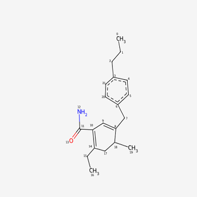 CCCc1ccc(CC2=CC(C(N)=O)=C(CC)CC2C)cc1